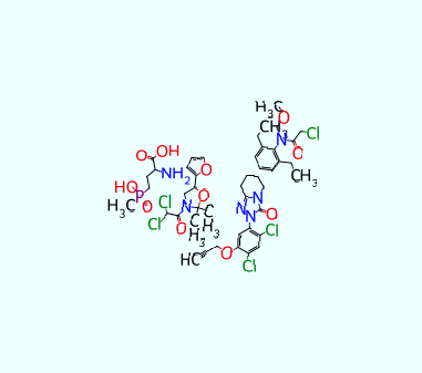 C#CCOc1cc(-n2nc3n(c2=O)CCCC3)c(Cl)cc1Cl.CC1(C)OC(c2ccco2)CN1C(=O)C(Cl)Cl.CCc1cccc(CC)c1N(COC)C(=O)CCl.CP(=O)(O)CCC(N)C(=O)O